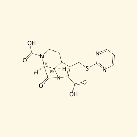 O=C(O)C1=C(CSc2ncccn2)C2CCN(C(=O)O)[C@@H]3C(=O)N1[C@H]23